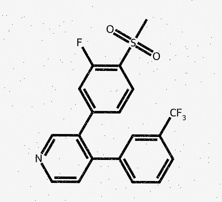 CS(=O)(=O)c1ccc(-c2cnccc2-c2cccc(C(F)(F)F)c2)cc1F